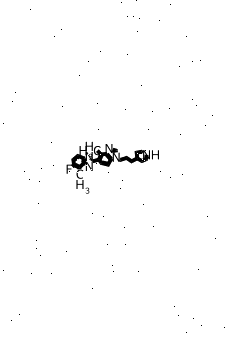 Cc1c(F)ccc2[nH]c(-c3ccc4c(ncn4CCCC4CCNCC4)c3C)nc12